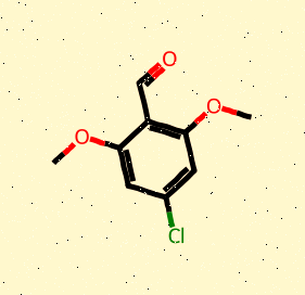 COc1cc(Cl)cc(OC)c1C=O